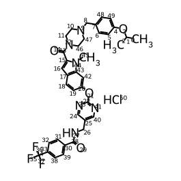 CC(C)Oc1ccc(CN2CCN(C(=O)c3cc4ccc(Oc5ncc(CNC(=O)c6ccc(C(F)(F)F)cc6)cn5)cc4n3C)CC2)cc1.Cl